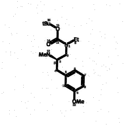 CCN(C[C@@H](Cc1cccc(OC)c1)NC)C(=O)OC(C)(C)C